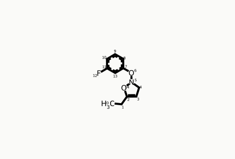 CCC1=CCN(Oc2cccc(F)c2)O1